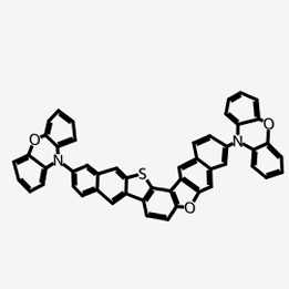 c1ccc2c(c1)Oc1ccccc1N2c1ccc2cc3c(cc2c1)oc1ccc2c4cc5ccc(N6c7ccccc7Oc7ccccc76)cc5cc4sc2c13